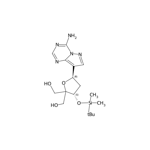 CC(C)(C)[Si](C)(C)O[C@H]1C[C@H](c2cnn3c(N)ncnc23)OC1(CO)CO